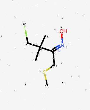 CSC/C(=N/O)C(C)(C)CF